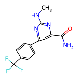 CNc1nc(C(N)=O)cc(-c2ccc(C(F)(F)F)cc2)n1